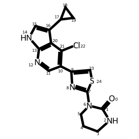 O=C1NCCCN1c1nc(-c2cnc3[nH]cc(C4CC4)c3c2Cl)cs1